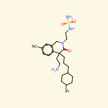 CC(C)C1CCC(CCCC2(CCN)C(=O)N(CCNS(N)(=O)=O)Cc3cc(C#N)ccc32)CC1